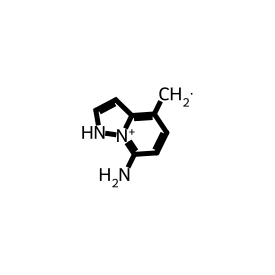 [CH2]c1ccc(N)[n+]2[nH]ccc12